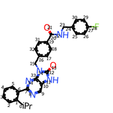 CC(C)c1ccccc1-c1ncc2[nH]c(=O)n(Cc3ccc(C(=O)NCc4ccc(F)cc4)cc3)c2n1